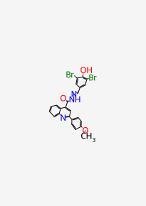 COc1ccc(-c2cc(C(=O)NN=Cc3cc(Br)c(O)c(Br)c3)c3ccccc3n2)cc1